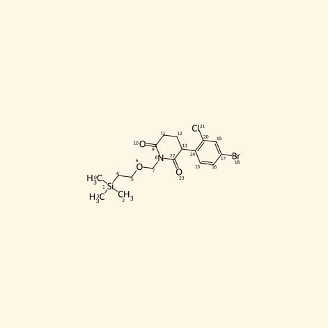 C[Si](C)(C)CCOCN1C(=O)CCC(c2ccc(Br)cc2Cl)C1=O